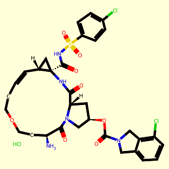 Cl.N[C@H]1CCOCC/C=C\[C@@H]2C[C@@]2(C(=O)NS(=O)(=O)c2ccc(Cl)cc2)NC(=O)[C@@H]2C[C@@H](OC(=O)N3Cc4cccc(Cl)c4C3)CN2C1=O